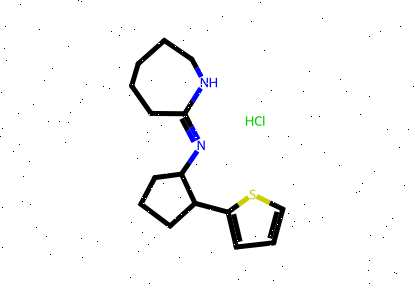 Cl.c1csc(C2CCCC2N=C2CCCCCN2)c1